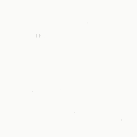 COc1cc2c3c(c4ncc(O)cc4c2cc1OC)C(O)C1(C)CCCC1C3.Cl